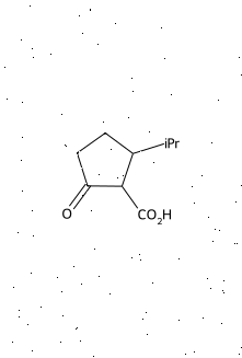 CC(C)C1CCC(=O)C1C(=O)O